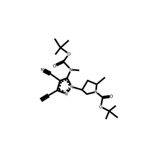 C#Cc1nn(C2CC(C)N(C(=O)OC(C)(C)C)C2)c(N(C)C(=O)OC(C)(C)C)c1C#N